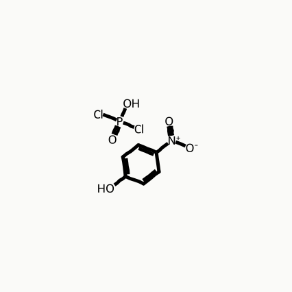 O=P(O)(Cl)Cl.O=[N+]([O-])c1ccc(O)cc1